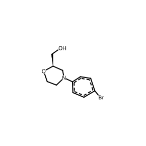 OC[C@H]1CN(c2ccc(Br)cc2)CCO1